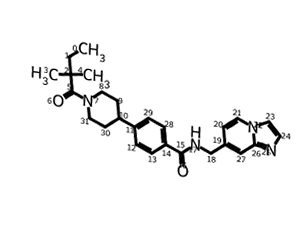 CCC(C)(C)C(=O)N1CCC(c2ccc(C(=O)NCc3ccn4ccnc4c3)cc2)CC1